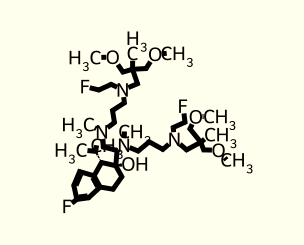 COCC(C)(COC)CN(CCF)CCCN(C)CC(N(C)CCCN(CCF)CC(C)(COC)COC)[C@]1(O)CCc2cc(F)ccc2[C@@H]1C(C)C